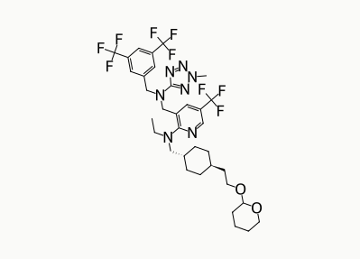 CCN(C[C@H]1CC[C@H](CCOC2CCCCO2)CC1)c1ncc(C(F)(F)F)cc1CN(Cc1cc(C(F)(F)F)cc(C(F)(F)F)c1)c1nnn(C)n1